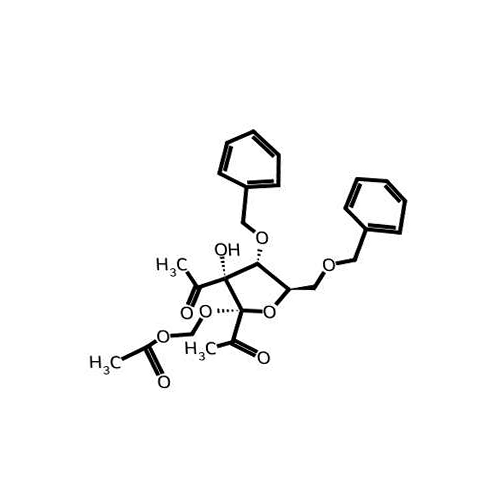 CC(=O)OCO[C@@]1(C(C)=O)O[C@H](COCc2ccccc2)[C@@H](OCc2ccccc2)[C@]1(O)C(C)=O